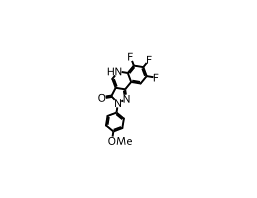 COc1ccc(-n2nc3c4cc(F)c(F)c(F)c4[nH]cc-3c2=O)cc1